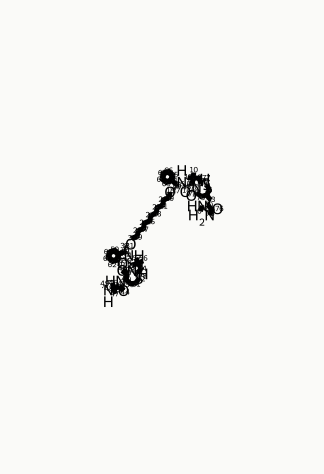 CN[C@@H](CC1CS[C@H]2CC(C)(C)[C@@H](C(=O)N[C@H](COCCCCCCCCCCCCOC[C@@H](NC(=O)[C@H]3N4C(=O)[C@@H](NC(=O)C(C)(C)NC)CCS[C@H]4CC3(C)C)c3ccccc3)c3ccccc3)N2C(=O)C1)C(N)=O